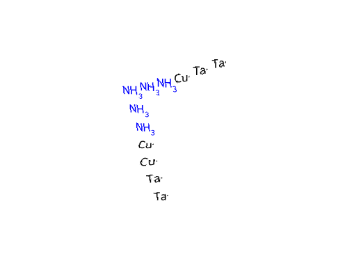 N.N.N.N.N.[Cu].[Cu].[Cu].[Ta].[Ta].[Ta].[Ta]